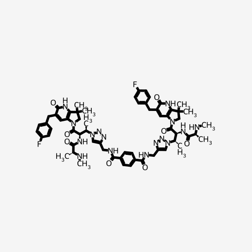 CN[C@@H](C)C(=O)N[C@H](C(=O)N1CC(C)(C)c2[nH]c(=O)c(Cc3ccc(F)cc3)cc21)[C@H](C)n1cc(CNC(=O)c2ccc(C(=O)NCc3cn([C@H](C)[C@@H](NC(=O)[C@@H](C)NC)C(=O)N4CC(C)(C)c5[nH]c(=O)c(Cc6ccc(F)cc6)cc54)nn3)cc2)nn1